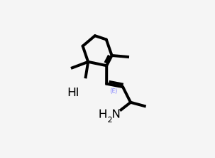 CC1=C(/C=C/C(C)N)C(C)(C)CCC1.I